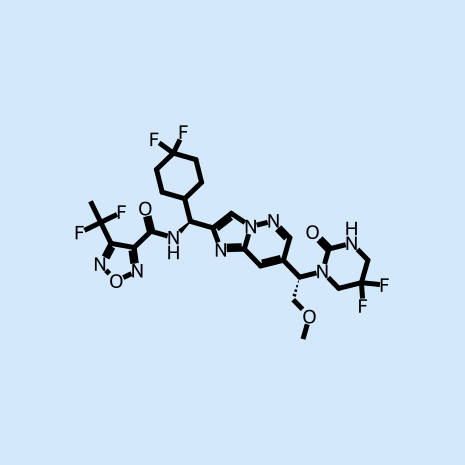 COC[C@H](c1cnn2cc([C@@H](NC(=O)c3nonc3C(C)(F)F)C3CCC(F)(F)CC3)nc2c1)N1CC(F)(F)CNC1=O